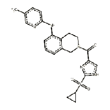 O=C(c1c[nH]c(S(=O)(=O)C2CC2)n1)N1CCc2c(cccc2Nc2ccc(C(F)(F)F)cn2)C1